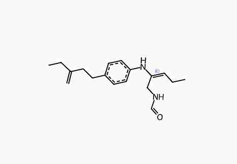 C=C(CC)CCc1ccc(N/C(=C/CC)CNC=O)cc1